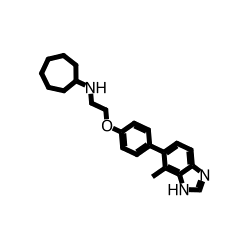 Cc1c(-c2ccc(OCCNC3CCCCCC3)cc2)ccc2nc[nH]c12